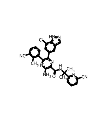 Cc1c(C#N)cccc1-c1nc(N)c(C(=O)NC(C)(C)c2cccc(C#N)n2)nc1-c1cc(Cl)c2[nH]ncc2c1